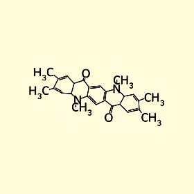 CC1=CC2C(=O)c3cc4c(cc3N(C)C2C=C1C)C(=O)C1C=C(C)C(C)=CC1N4C